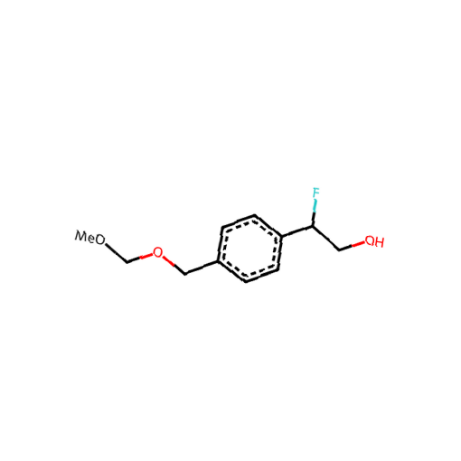 COCOCc1ccc(C(F)CO)cc1